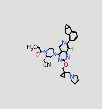 C=CC(=O)N1CCN(c2nc(OCC3(CN4CCCC4)CC3)nc3c(F)c(-c4cccc5c4CC4CC54)ncc23)C[C@@H]1CC#N